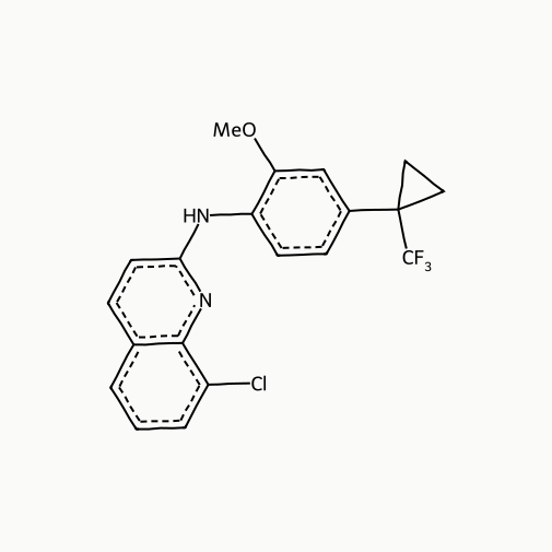 COc1cc(C2(C(F)(F)F)CC2)ccc1Nc1ccc2cccc(Cl)c2n1